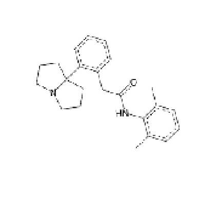 Cc1cccc(C)c1NC(=O)Cc1ccccc1C12CCCN1CCC2